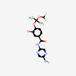 Cc1cnc(NC(=O)c2ccc(OC(C)(C)OC(F)F)c([O])c2)cn1